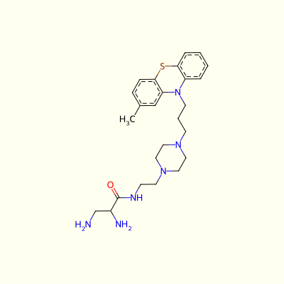 Cc1ccc2c(c1)N(CCCN1CCN(CCNC(=O)C(N)CN)CC1)c1ccccc1S2